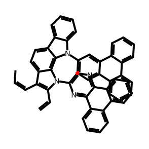 C=Cc1c(/C=C\C)c2ccc3c4ccccc4n(-c4ccc5c6ccccc6c6ccccc6c5c4)c3c2n1-c1cnc2c3ccccc3c3ccccc3c2n1